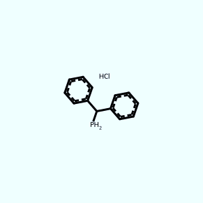 Cl.PC(c1ccccc1)c1ccccc1